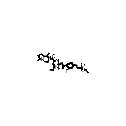 C=C(/C=C1/N=C(C(=O)N2CCN3C(C)=CCC3C2C)C=C(CC)N1C)c1ccc(/C=C/C(=O)OCC)cc1F